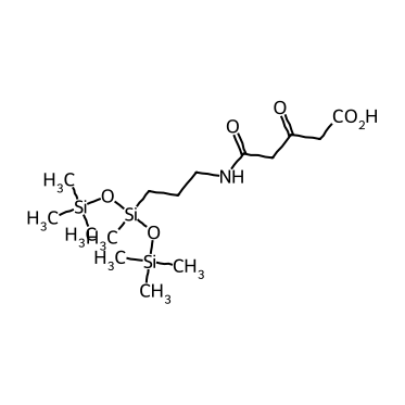 C[Si](C)(C)O[Si](C)(CCCNC(=O)CC(=O)CC(=O)O)O[Si](C)(C)C